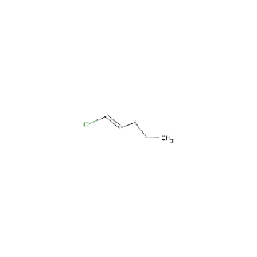 CC[CH]/C=C/Cl